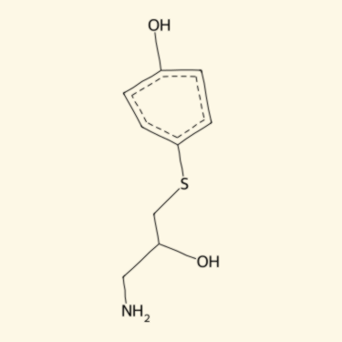 NCC(O)CSc1ccc(O)cc1